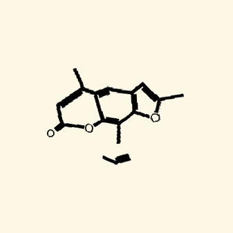 C=CC.Cc1cc2cc3c(C)cc(=O)oc3c(C)c2o1